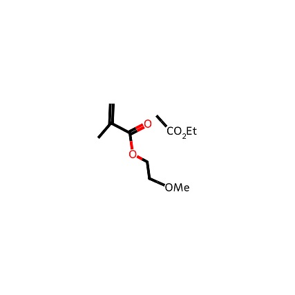 C=C(C)C(=O)OCCOC.CCOC(C)=O